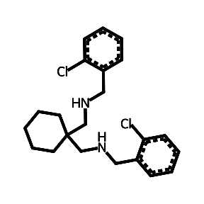 Clc1ccccc1CNCC1(CNCc2ccccc2Cl)CCCCC1